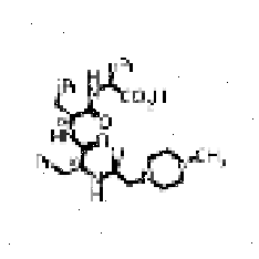 CCCC(NC(=O)[C@H](CC(C)C)NC(=O)[C@H](CC(C)C)NC(=O)CN1CCN(C)CC1)C(=O)O